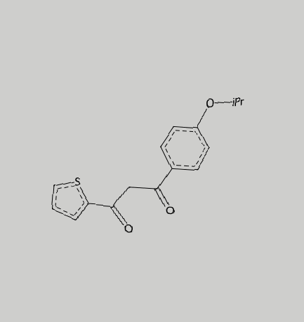 CC(C)Oc1ccc(C(=O)CC(=O)c2cccs2)cc1